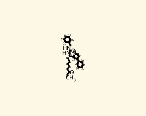 CCC(=O)CCCCC[C@H](NC(=O)NCc1ccccc1)c1cc(-c2ccccc2)ccn1